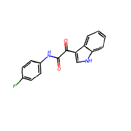 O=C(Nc1ccc(F)cc1)C(=O)c1c[nH]c2ccccc12